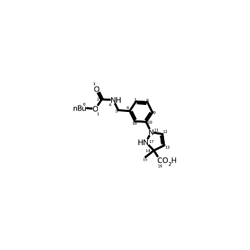 CCCCOC(=O)NCc1cccc(N2C=CC(C)(C(=O)O)N2)c1